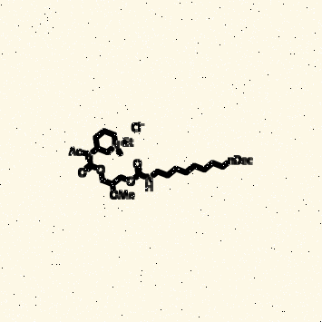 CCCCCCCCCCCCCCCCCCNC(=O)OCC(COC(=O)N(C(C)=O)C1CCC[N+](C)(CC)C1)OC.[Cl-]